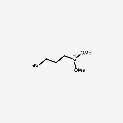 CCCCCCC[SiH](OC)OC